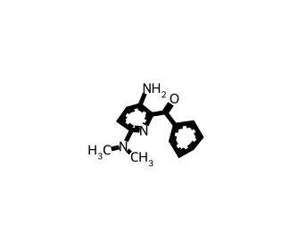 CN(C)c1ccc(N)c(C(=O)c2ccccc2)n1